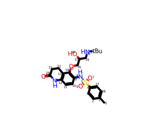 Cc1ccc(S(=O)(=O)Nc2ccc3c(c2OCC(O)CNC(C)(C)C)CCC(=O)N3)cc1